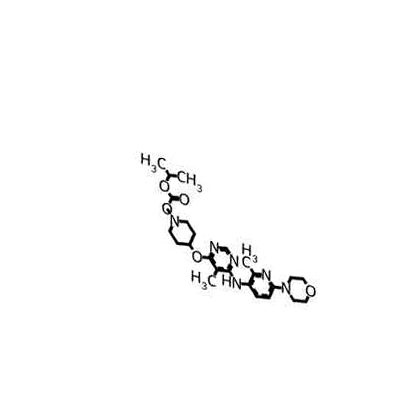 Cc1nc(N2CCOCC2)ccc1Nc1ncnc(OC2CCN(OC(=O)OC(C)C)CC2)c1C